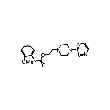 COc1ccccc1NC(=O)OCCN1CCN(c2cnccn2)CC1